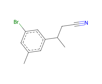 Cc1cc(Br)cc(C(C)CC#N)c1